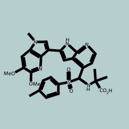 COc1cc2c(nc1OC)c(-c1cc3c(C(NC(C)(C)C(=O)O)S(=O)(=O)c4ccc(C)cc4)ccnc3[nH]1)cn2C